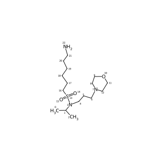 CC(C)N(CCCN1CCOCC1)S(=O)(=O)CCCCCCN